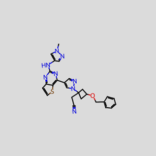 Cn1cc(Nc2nc(-c3cnn(C4(CC#N)CC(OCc5ccccc5)C4)c3)c3sccc3n2)cn1